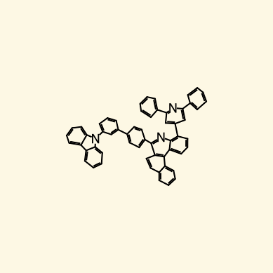 c1ccc(-c2cc(-c3cccc4c3nc(-c3ccc(-c5cccc(-n6c7ccccc7c7ccccc76)c5)cc3)c3ccc5ccccc5c34)cc(-c3ccccc3)n2)cc1